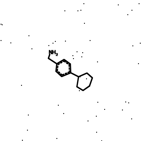 NCc1ccc([C]2CCCCC2)cc1